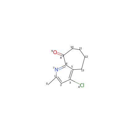 Cc1cc(Cl)c2c(n1)C(=O)CCCC2